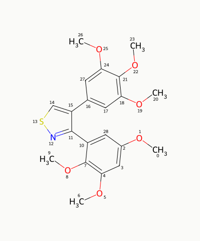 COc1cc(OC)c(OC)c(-c2nscc2-c2cc(OC)c(OC)c(OC)c2)c1